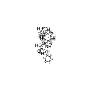 [2H]C([2H])(c1ccccc1)[C@@H](NC(=O)[C@]1([2H])C([2H])([2H])C([2H])([2H])[C@@]([2H])(C([2H])(C)C)C([2H])([2H])C1([2H])[2H])C(=O)O